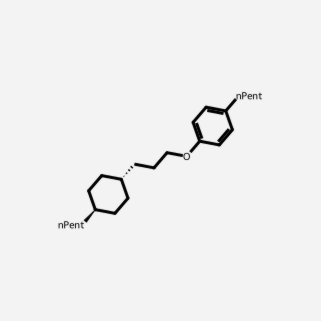 CCCCCc1ccc(OCCC[C@H]2CC[C@H](CCCCC)CC2)cc1